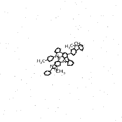 Cc1ccc(N2B3c4cc5nc(-c6ccccc6)n(C)c5cc4-n4c5ccccc5c5c(-c6ccc7c(c6)C(C)(C)c6ccccc6-7)cc(c3c54)-c3ccccc32)cc1